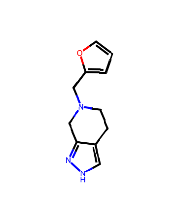 c1coc(CN2CCc3c[nH]nc3C2)c1